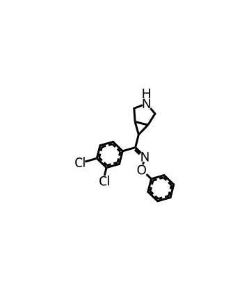 Clc1ccc(/C(=N\Oc2ccccc2)C2C3CNCC32)cc1Cl